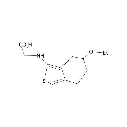 CCOC1CCc2csc(NCC(=O)O)c2C1